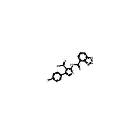 O=C(O)c1c(-c2ccc(Cl)cc2)csc1NC(=O)c1cccc2nsnc12